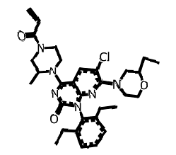 C=CC(=O)N1CCN(c2nc(=O)n(-c3c(CC)cccc3CC)c3nc(N4CCOC(CC)C4)c(Cl)cc23)C(C)C1